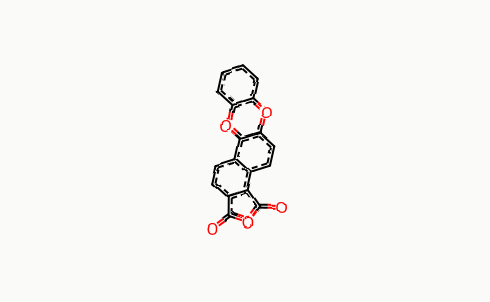 O=c1oc(=O)c2c1ccc1c2ccc2oc3ccccc3oc21